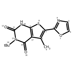 Cc1c(-c2ncco2)sc2[nH]c(=O)n(C(C)(C)C)c(=O)c12